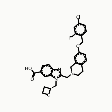 O=C(O)c1ccc2nc(CN3CCc4ccc(OCc5ccc(Cl)cc5F)cc4C3)n(C[C@@H]3CCO3)c2c1